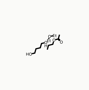 CCCOC(C)=O.CCOCC.OCCCCO